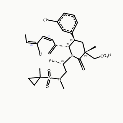 C=C(/C=C\C(Cl)=C/C)[C@@H]1[C@@H](c2cccc(Cl)c2)C[C@](C)(CC(=O)O)C(=O)N1[C@@H](CC)CN(C)S(=O)(=O)C1(C)CC1